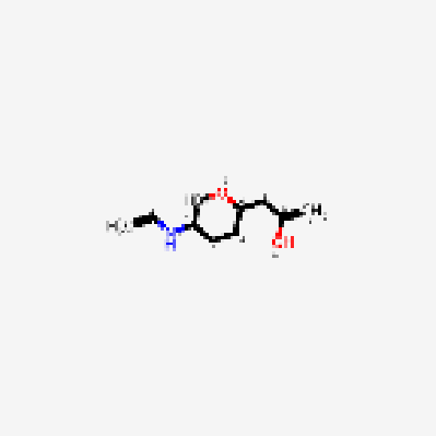 C=CNC1BOC(CC(=C)O)CC1